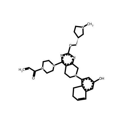 C=CC(=O)N1CCN(c2nc(OC[C@@H]3CCN(C)C3)nc3c2CCN(c2cc(O)cc4c2CCC=C4)C3)CC1